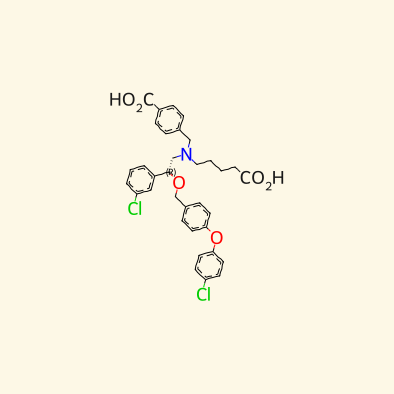 O=C(O)CCCCN(Cc1ccc(C(=O)O)cc1)C[C@H](OCc1ccc(Oc2ccc(Cl)cc2)cc1)c1cccc(Cl)c1